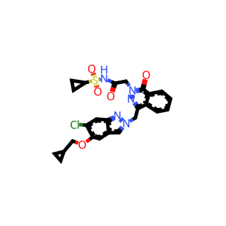 O=C(Cn1nc(Cn2cc3cc(OCC4CC4)c(Cl)cc3n2)c2ccccc2c1=O)NS(=O)(=O)C1CC1